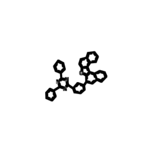 c1ccc(-c2nc(-c3ccccc3)nc(-c3cccc(-c4cc5ccccc5c5c4oc4ccc6ccccc6c45)c3)n2)cc1